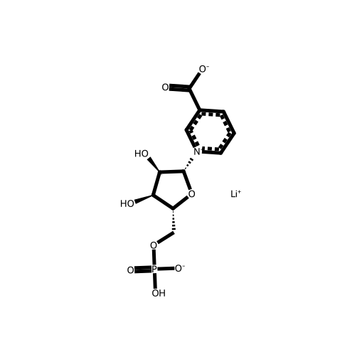 O=C([O-])c1ccc[n+]([C@@H]2O[C@H](COP(=O)([O-])O)[C@@H](O)[C@H]2O)c1.[Li+]